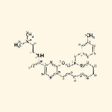 Cc1cccc(CN2C(=O)C(=Cc3ccc(C(=O)NCCN(C)C)cc3)Oc3ccccc32)c1